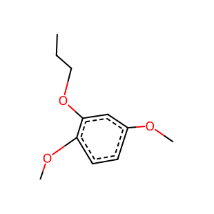 CCCOc1cc(OC)ccc1OC